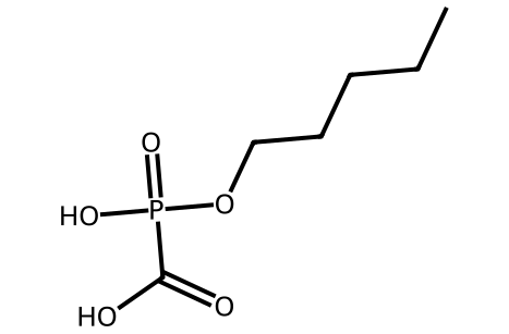 CCCCCOP(=O)(O)C(=O)O